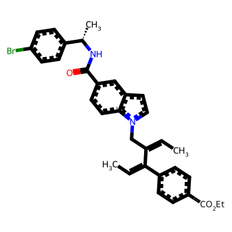 C/C=C(\C(=C/C)Cn1ccc2cc(C(=O)N[C@@H](C)c3ccc(Br)cc3)ccc21)c1ccc(C(=O)OCC)cc1